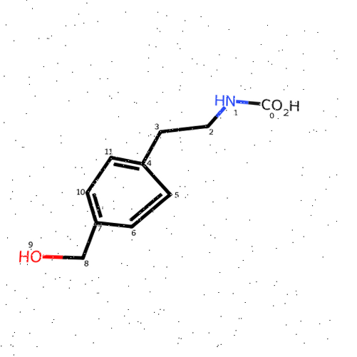 O=C(O)NCCc1ccc(CO)cc1